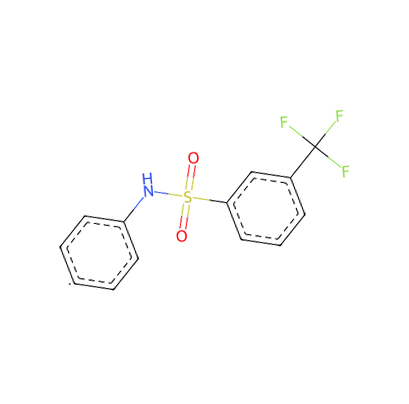 O=S(=O)(Nc1cc[c]cc1)c1cccc(C(F)(F)F)c1